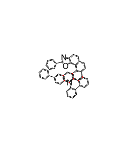 c1ccc(-c2ccc(N(c3ccc4ccc5ccc6nc(-c7ccccc7)oc6c5c4c3)c3ccccc3-c3ccccc3-c3ccccc3)cc2)cc1